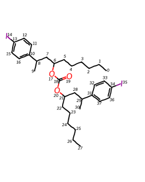 CCCCCCC(CC(C)c1ccc(I)cc1)OC(=O)OC(CCCCCC)CC(C)c1ccc(I)cc1